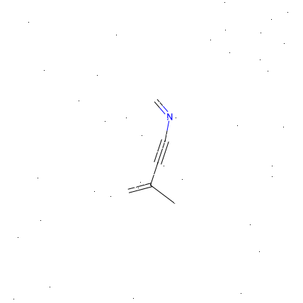 C=NC#CC(=C)C